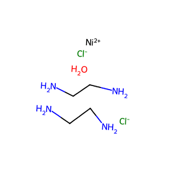 NCCN.NCCN.O.[Cl-].[Cl-].[Ni+2]